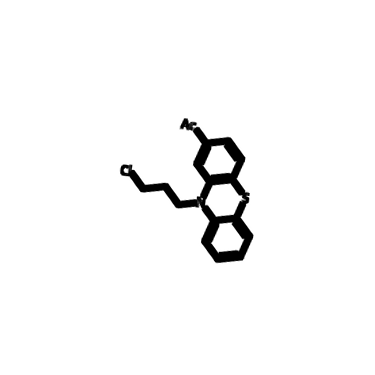 CC(=O)c1ccc2c(c1)N(CCCCl)c1ccccc1S2